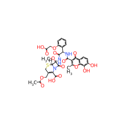 CO[C@@]1(NC(=O)C(NC(=O)c2c(C)oc3c(O)c(O)ccc3c2=O)c2ccccc2OCC(=O)O)C(=O)N2C(C(=O)O)=C(COC(C)=O)CS[C@H]21